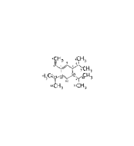 C=Cc1cc(C(C)C)c(C(C)C)cc1C(C)C